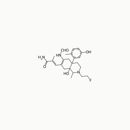 C/C(=C\C1=C(NC=O)CC2(c3cc(O)ccc3C)CCN(CCF)C(C)C2(O)C1)C(N)=O